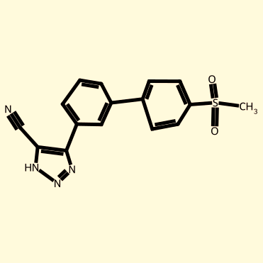 CS(=O)(=O)c1ccc(-c2cccc(-c3nn[nH]c3C#N)c2)cc1